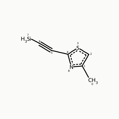 Cc1csc(C#C[SiH3])n1